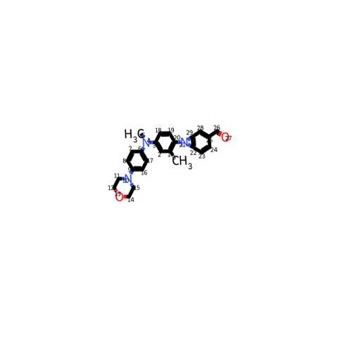 Cc1cc(N(C)c2ccc(N3CCOCC3)cc2)ccc1N1c2ccc(C=O)cc21